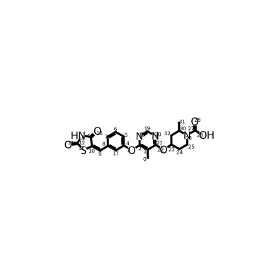 Cc1c(Oc2cccc(C=C3SC(=O)NC3=O)c2)ncnc1OC1CCN(C(=O)O)C(C)C1